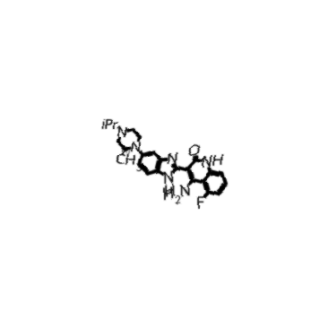 CC(C)N1CCN(c2ccc3[nH]c(-c4c(N)c5c(F)cccc5[nH]c4=O)nc3c2)[C@H](C)C1